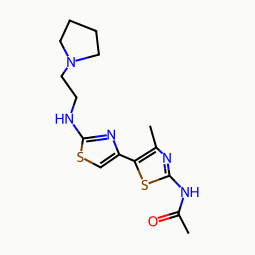 CC(=O)Nc1nc(C)c(-c2csc(NCCN3CCCC3)n2)s1